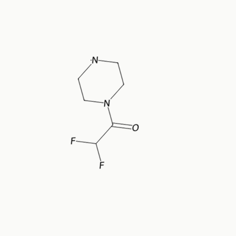 O=C(C(F)F)N1CC[N]CC1